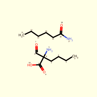 CCCCC(N)(C=O)C(=O)O.CCCCCC(N)=O